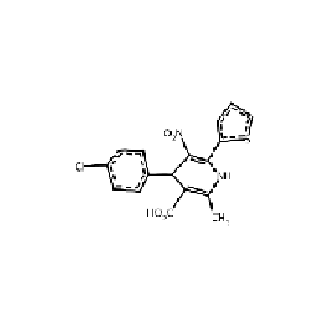 CC1=C(C(=O)O)C(c2ccc(Cl)cc2)C([N+](=O)[O-])=C(c2cccs2)N1